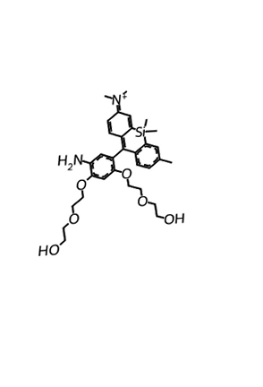 Cc1ccc2c(c1)[Si](C)(C)C1=CC(=[N+](C)C)C=CC1=C2c1cc(N)c(OCCOCCO)cc1OCCOCCO